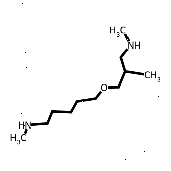 CNCCCCCOCC(C)CNC